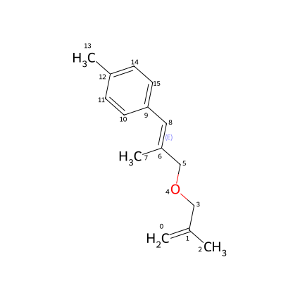 C=C(C)COC/C(C)=C/c1ccc(C)cc1